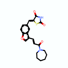 O=C1NC(=O)C(=Cc2ccc3occ(C=CC(=O)N4CCCCCC4)c3c2)S1